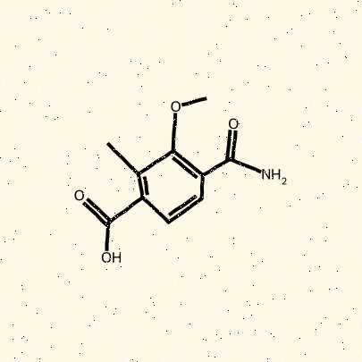 COc1c(C(N)=O)ccc(C(=O)O)c1C